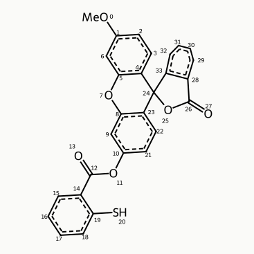 COc1ccc2c(c1)Oc1cc(OC(=O)c3ccccc3S)ccc1C21OC(=O)c2ccccc21